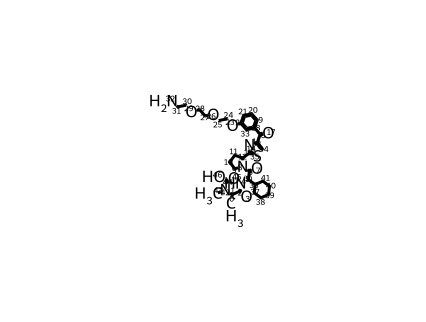 CC(C(=O)N[C@H](C(=O)N1CCCC1c1nc(C(=O)c2cccc(OCCOCCOCCN)c2)cs1)C1CCCCC1)N(C)C(=O)O